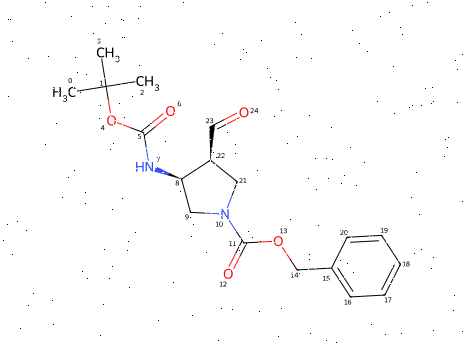 CC(C)(C)OC(=O)N[C@@H]1CN(C(=O)OCc2ccccc2)C[C@@H]1C=O